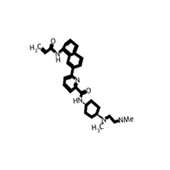 C=CC(=O)Nc1cccc2ccc(-c3cccc(C(=O)N[C@H]4CC[C@H](N(C)CCNC)CC4)n3)cc12